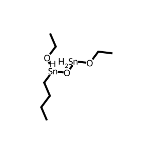 CCC[CH2][SnH]([O]CC)[O][SnH2][O]CC